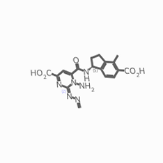 C=N/N=c1/nc(C(=O)O)cc(C(=O)N[C@H]2CCc3c2ccc(C(=O)O)c3C)n1N